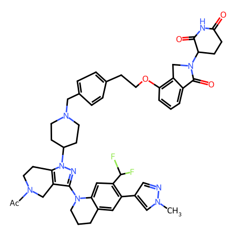 CC(=O)N1CCc2c(c(N3CCCc4cc(-c5cnn(C)c5)c(C(F)F)cc43)nn2C2CCN(Cc3ccc(CCOc4cccc5c4CN(C4CCC(=O)NC4=O)C5=O)cc3)CC2)C1